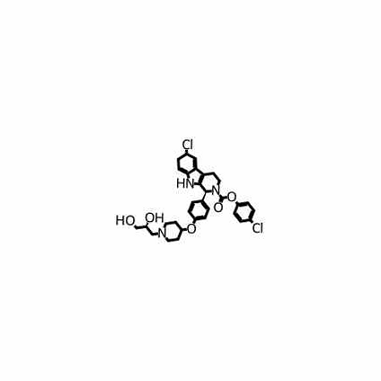 O=C(Oc1ccc(Cl)cc1)N1CCc2c([nH]c3c2=CC(Cl)CC=3)[C@@H]1c1ccc(OC2CCN(C[C@H](O)CO)CC2)cc1